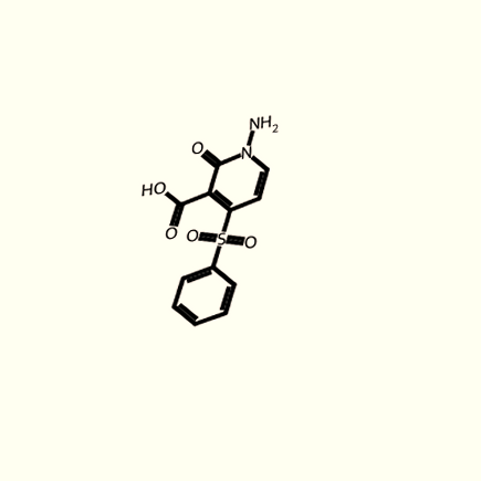 Nn1ccc(S(=O)(=O)c2ccccc2)c(C(=O)O)c1=O